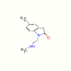 CNCCN1C(=O)Cc2cc(C)ccc21